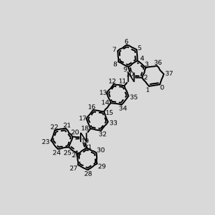 C1=Cc2c(c3ccccc3n2-c2ccc(-c3ccc(-n4c5ccccc5c5ccccc54)cc3)cc2)CC1